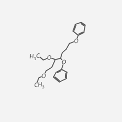 CCOCCC(OCC)C(CCCOc1ccccc1)Oc1ccccc1